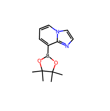 CC1(C)OB(c2cccn3ccnc23)OC1(C)C